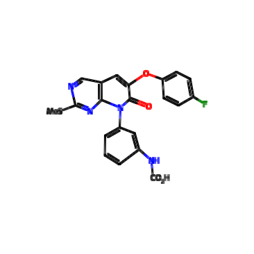 CSc1ncc2cc(Oc3ccc(F)cc3)c(=O)n(-c3cccc(NC(=O)O)c3)c2n1